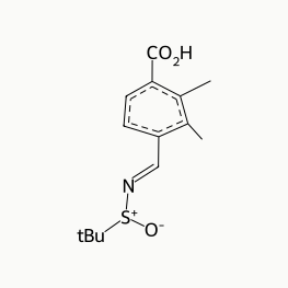 Cc1c(C=N[S+]([O-])C(C)(C)C)ccc(C(=O)O)c1C